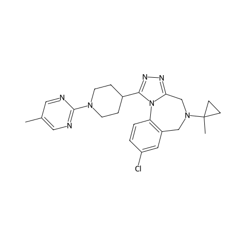 Cc1cnc(N2CCC(c3nnc4n3-c3ccc(Cl)cc3CN(C3(C)CC3)C4)CC2)nc1